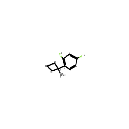 CC(C)(C)C1(c2ccc(F)cc2F)CCC1